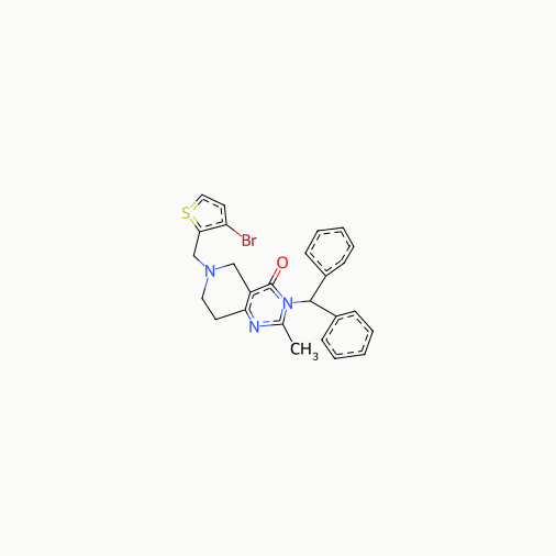 Cc1nc2c(c(=O)n1C(c1ccccc1)c1ccccc1)CN(Cc1sccc1Br)CC2